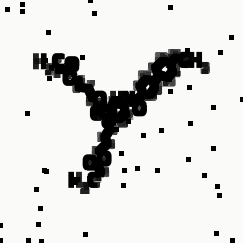 C=CC(=O)OCCCCOC(=O)c1cc(NC(=O)C2CCC(C3CCC(CC)CC3)CC2)ccc1OCCCCOC(=O)C=C